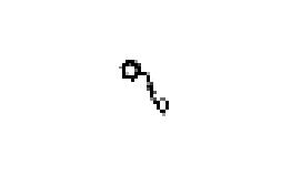 COCC#C[CH]c1ccccc1